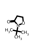 CC(C)(C)N1OCCC1=O